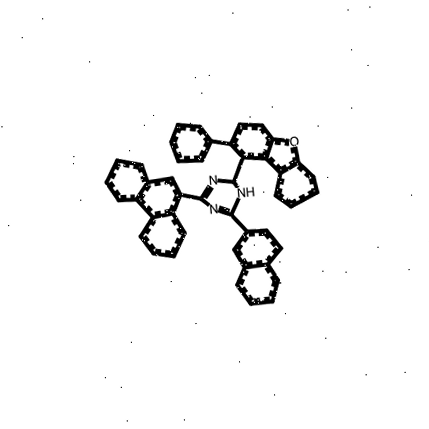 c1ccc(-c2ccc3oc4ccccc4c3c2C2N=C(c3cc4ccccc4c4ccccc34)N=C(c3ccc4ccccc4c3)N2)cc1